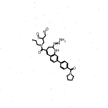 CCCN(CC(CN=O)N=O)C(=O)C1=Cc2ccc(-c3ccc(C(=O)N4CCCC4)cc3)cc2NC(N=NN)C1